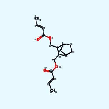 CC=CC(=O)OCC1C2CCC(C2)C1COC(=O)C=CC